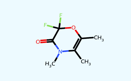 CC1=C(C)N(C)C(=O)C(F)(F)O1